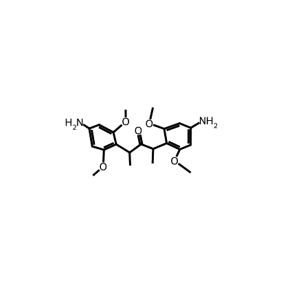 COc1cc(N)cc(OC)c1C(C)C(=O)C(C)c1c(OC)cc(N)cc1OC